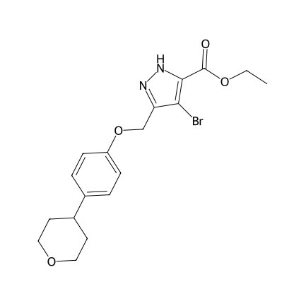 CCOC(=O)c1[nH]nc(COc2ccc(C3CCOCC3)cc2)c1Br